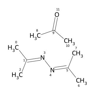 CC(C)=NN=C(C)C.CC(C)=O